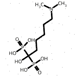 CN(C)CCCCCC(O)(P(=O)(O)O)P(=O)(O)O